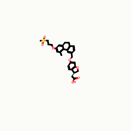 Cc1cc(OCCCS(C)(=O)=O)cc2c1-c1cc(COc3ccc4c(c3)OC[C@H]4CC(=O)O)ccc1CC2